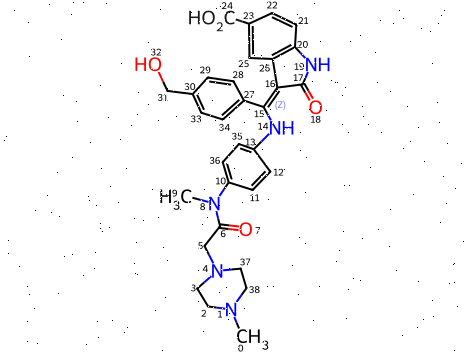 CN1CCN(CC(=O)N(C)c2ccc(N/C(=C3\C(=O)Nc4ccc(C(=O)O)cc43)c3ccc(CO)cc3)cc2)CC1